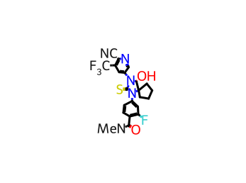 CNC(=O)c1ccc(N2C(=S)N(c3cnc(C#N)c(C(F)(F)F)c3)C(O)C23CCCC3)cc1F